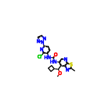 COC(c1c(NC(=O)Nc2ccc(-n3nccn3)nc2Cl)cnc2sc(C)nc12)C1CCC1